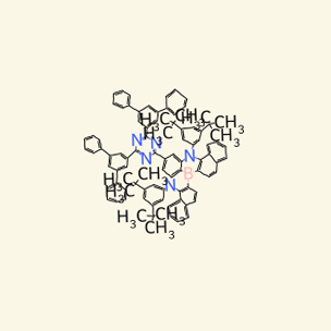 CC(C)(C)c1cc(N2c3cc(-c4nc(-c5cc(-c6ccccc6)cc(-c6ccccc6)c5)nc(-c5cc(-c6ccccc6)cc(-c6ccccc6)c5)n4)cc4c3B(c3ccc5ccccc5c32)c2ccc3ccccc3c2N4c2cc(C(C)(C)C)cc(C(C)(C)C)c2)cc(C(C)(C)C)c1